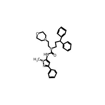 Cn1nc(-c2ccccc2)cc1NC(=O)N(CCC(c1ccccc1)c1ccccc1)CCN1CCOCC1